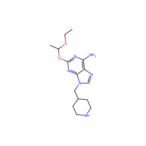 CCOC(C)Oc1nc(N)c2ncn(CC3CCNCC3)c2n1